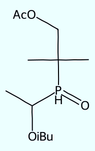 CC(=O)OCC(C)(C)[PH](=O)C(C)OCC(C)C